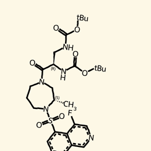 C[C@H]1CN(C(=O)[C@@H](CNC(=O)OC(C)(C)C)NC(=O)OC(C)(C)C)CCCN1S(=O)(=O)c1cccc2cncc(F)c12